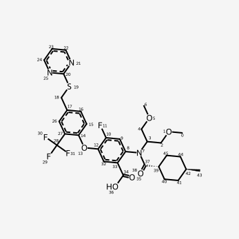 COCC(COC)N(c1cc(F)c(Oc2ccc(CSc3ncccn3)cc2C(F)(F)F)cc1C(=O)O)C(=O)[C@H]1CC[C@H](C)CC1